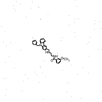 COc1cccc(C(=O)NCCNCc2ccc3c(c2)c2ccccc2n3Cc2ccccc2)c1